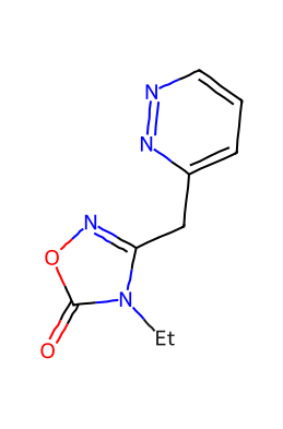 CCn1c(Cc2cccnn2)noc1=O